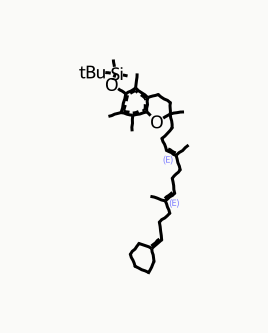 C/C(=C\CC/C(C)=C/CCC1(C)CCc2c(C)c(O[Si](C)(C)C(C)(C)C)c(C)c(C)c2O1)CCC=C1CCCCC1